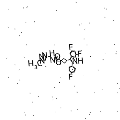 Cn1cc(CNC(=O)O[C@H]2C[C@H](c3c(-c4ccc(F)cc4)[nH]c4c(F)cc(F)cc43)C2)nn1